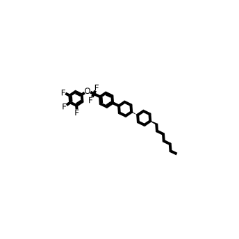 CCCCCCC[C@H]1CC[C@H](C2CCC(c3ccc(C(F)(F)Oc4cc(F)c(F)c(F)c4)cc3)CC2)CC1